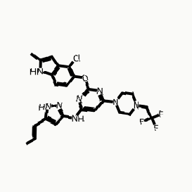 C/C=C/c1cc(Nc2cc(N3CCN(CC(F)(F)F)CC3)nc(Oc3ccc4[nH]c(C)cc4c3Cl)n2)n[nH]1